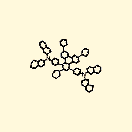 C1=CC(c2cc(-c3ccc(N(c4ccc5ccccc5c4)c4ccc5ccccc5c4)cc3)c3c4ccc(-c5ccccc5)cc4c4cc(-c5ccccc5)ccc4c3c2-c2ccc(N(c3ccc4ccccc4c3)c3ccc4ccccc4c3)cc2)=CCC1